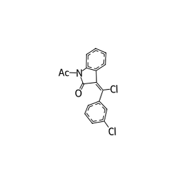 CC(=O)N1C(=O)/C(=C(/Cl)c2cccc(Cl)c2)c2ccccc21